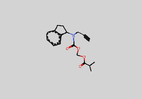 C#CCN(C(=O)OCOC(=O)C(C)C)C1CCc2ccccc21